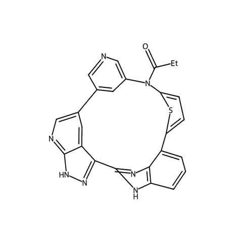 CCC(=O)n1c2cncc(c2)c2cnc3[nH]nc(c4nc5c(cccc5c5ccc1s5)[nH]4)c3c2